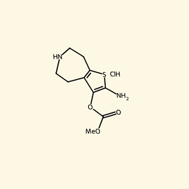 COC(=O)Oc1c(N)sc2c1CCNCC2.Cl